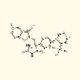 O=C1NC(=O)[C@@](CN2Cc3ccc(F)cc3C2=O)(c2ccc(-c3ccccc3C(F)(F)F)cc2)N1